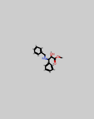 COC(=O)C(O)C(NCc1ccccc1)c1ccccc1